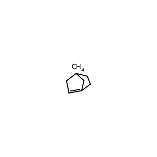 C.C1=C2CCC(C1)C2